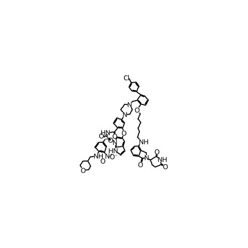 O=C1CCC(N2Cc3c(NCCCCCCOc4cccc(-c5ccc(Cl)cc5)c4CN4CCN(c5ccc(C(=O)NS(=O)(=O)c6ccc(NCC7CCOCC7)c([N+](=O)[O-])c6)c(Oc6cnc7[nH]ccc7c6)c5)CC4)cccc3C2=O)C(=O)N1